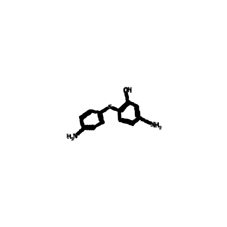 Nc1ccc(Sc2ccc(N)cc2O)cc1